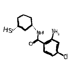 Nc1cc(Cl)ccc1C(=O)N[C@H]1CCC[C@@H](S)C1